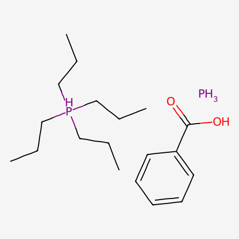 CCC[PH](CCC)(CCC)CCC.O=C(O)c1ccccc1.P